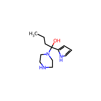 CCCC(O)(c1ccc[nH]1)N1CCNCC1